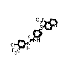 O=[N+]([O-])c1c(Sc2ccc(NC(=S)Nc3ccc(Cl)c(C(F)(F)F)c3)cc2)ccc2ncccc12